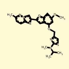 COc1cc(OCc2csc(N(C)C(C)C)n2)c2cc(-c3cn4nc(C)ccc4n3)oc2c1